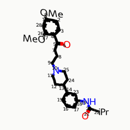 COc1ccc(C(=O)CCCN2CCC(c3cccc(NC(=O)C(C)C)c3)CC2)c(OC)c1